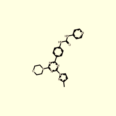 Cc1ccn(-c2nc(-c3ccc(NC(=O)Nc4ccncc4)cc3)nc(N3CCOCC3)n2)n1